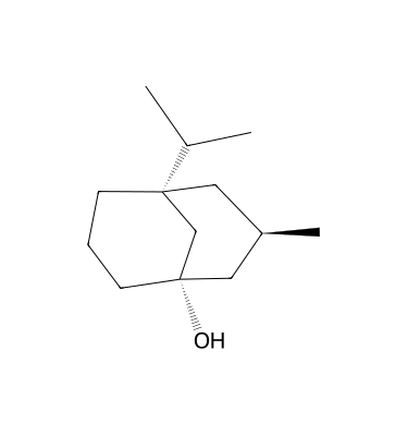 CC(C)[C@]12CCC[C@](O)(C[C@H](C)C1)C2